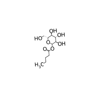 CCCCC(=O)OC1O[C@H](CO)[C@@H](O)[C@H](O)[C@H]1O